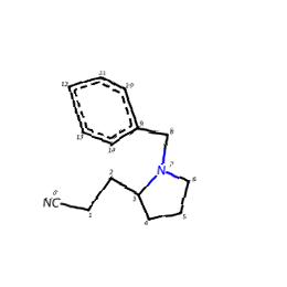 N#CCCC1CCCN1Cc1ccccc1